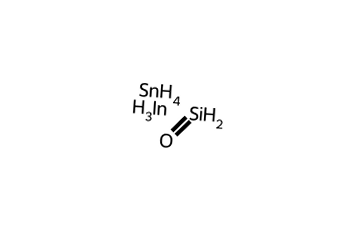 O=[SiH2].[InH3].[SnH4]